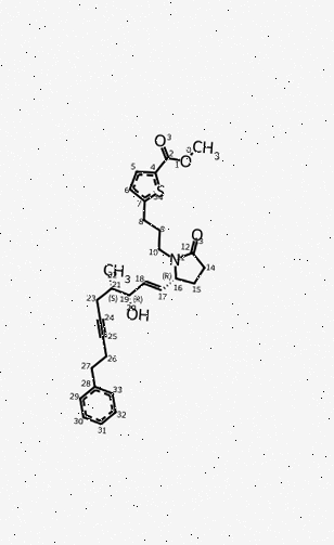 COC(=O)c1ccc(CCCN2C(=O)CC[C@@H]2C=C[C@H](O)[C@@H](C)CC#CCCc2ccccc2)s1